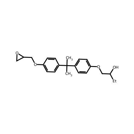 CCC(O)COc1ccc(C(C)(C)c2ccc(OCC3CO3)cc2)cc1